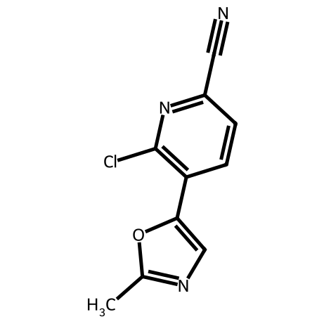 Cc1ncc(-c2ccc(C#N)nc2Cl)o1